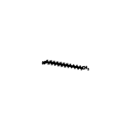 CCCCCCCCCCCCCCCCCCCCCCSC#N